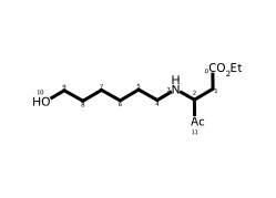 CCOC(=O)CC(NCCCCCCO)C(C)=O